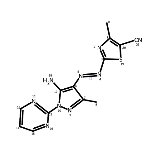 Cc1nc(/N=N/c2c(C)nn(-c3ncccn3)c2N)sc1C#N